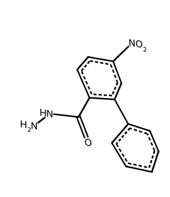 NNC(=O)c1ccc([N+](=O)[O-])cc1-c1ccccc1